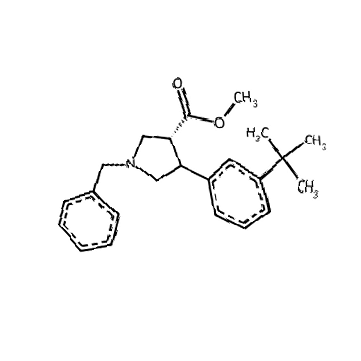 COC(=O)[C@H]1CN(Cc2ccccc2)CC1c1cccc(C(C)(C)C)c1